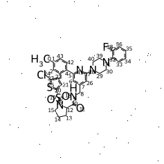 Cc1ccc(-c2cc(CNC(=O)C3CCCN3S(=O)(=O)c3ccc(Cl)s3)cc(N3CCN(c4ccccc4F)CC3)n2)cc1